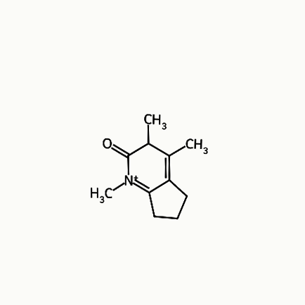 CC1=C2CCCC2=[N+](C)C(=O)C1C